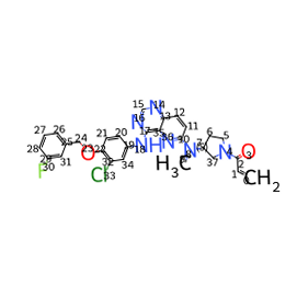 C=CC(=O)N1CC[C@H](N(C)c2ccc3ncnc(Nc4ccc(OCc5cccc(F)c5)c(Cl)c4)c3n2)C1